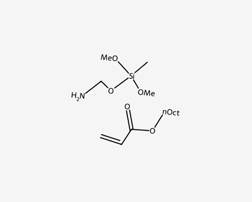 C=CC(=O)OCCCCCCCC.CO[Si](C)(OC)OCN